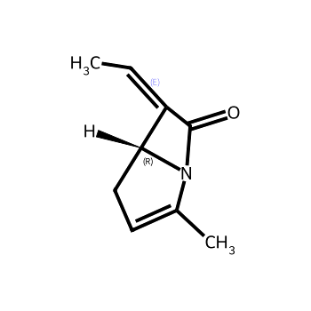 C/C=C1/C(=O)N2C(C)=CC[C@H]12